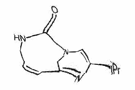 CC(C)c1cn2c(=O)[nH]ccc2n1